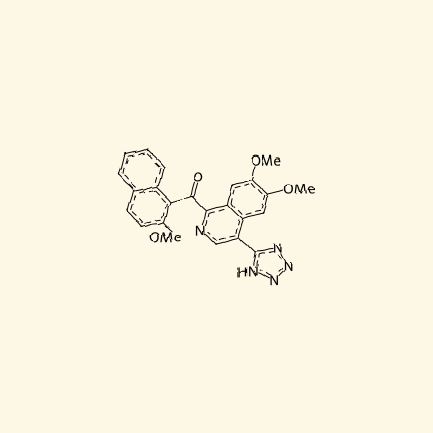 COc1cc2c(-c3nnn[nH]3)cnc(C(=O)c3c(OC)ccc4ccccc34)c2cc1OC